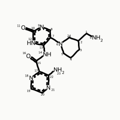 NCC1CCCN(c2cnc(=O)[nH]c2NC(=O)c2nccnc2N)C1